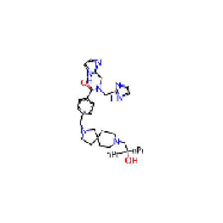 CCCC(O)(CCC)CN1CCC2(CC1)CCN(Cc1ccc(C(=O)N(Cc3ncc[nH]3)Cc3ncc[nH]3)cc1)C2